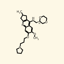 COc1cc2c(NC[C@@H]3COCCO3)c3c(nc2cc1OCCCN1CCCC1)CC(C)C3